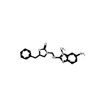 Cn1c(NCN2CC(Cc3ccccc3)OC2=O)nc2ccc(N)cc21